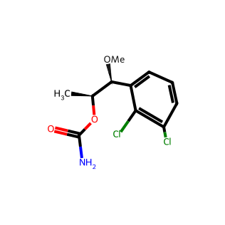 CO[C@@H](c1cccc(Cl)c1Cl)[C@H](C)OC(N)=O